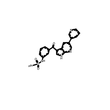 CCCS(=O)(=O)Nc1cccc(C(=O)c2c[nH]c3ncc(-c4cccnc4)cc23)c1